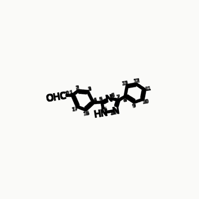 O=Cc1ccc(-c2nc(-c3ccccc3)n[nH]2)cc1